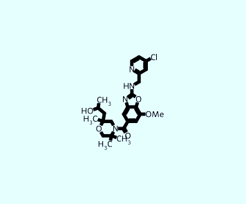 COc1cc(C(=O)N2CC(C)(CC(C)O)OCC2(C)C)cc2nc(NCc3cc(Cl)ccn3)oc12